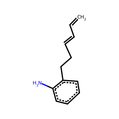 C=CC=CCCc1ccccc1N